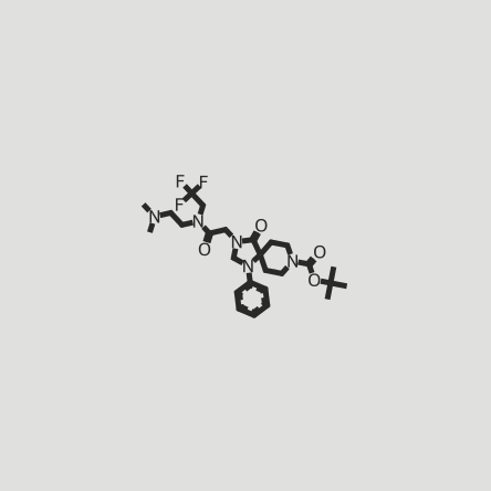 CN(C)CCN(CC(F)(F)F)C(=O)CN1CN(c2ccccc2)C2(CCN(C(=O)OC(C)(C)C)CC2)C1=O